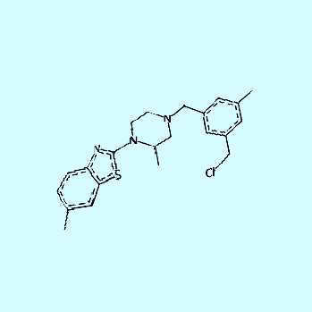 Cc1cc(CCl)cc(CN2CCN(c3nc4ccc(C)cc4s3)C(C)C2)c1